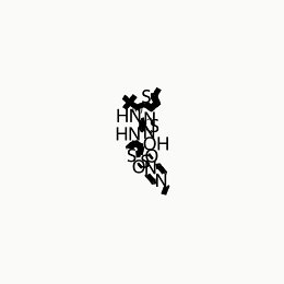 CCN1CCN(S(=O)(=O)c2scc(Nc3nsnc3N[C@@H](c3ccc(C)s3)C(C)(C)C)c2O)CC1